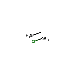 C[SiH3].[SiH3]Cl